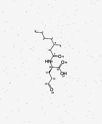 CCCCC(C)CC(=O)N[C@H](CC[C]=O)C(=O)O